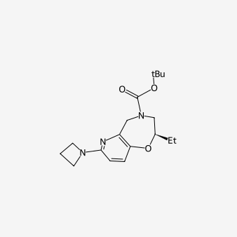 CC[C@@H]1CN(C(=O)OC(C)(C)C)Cc2nc(N3CCC3)ccc2O1